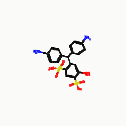 Nc1ccc(C(c2ccc(N)cc2)c2cc(O)c(S(=O)(=O)O)cc2S(=O)(=O)O)cc1